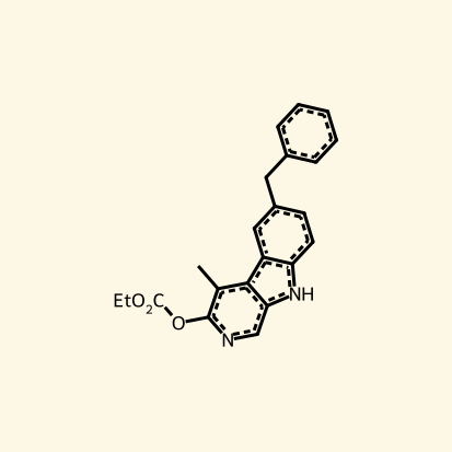 CCOC(=O)Oc1ncc2[nH]c3ccc(Cc4ccccc4)cc3c2c1C